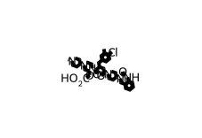 Cc1cc(CC(CC(=O)N2CCC(N3Cc4ccccc4NC3=O)CC2)C(=O)N2CCN(C3CCN(C)CC3)CC2OC(=O)O)ccc1Cl